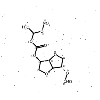 CC(OC(=O)O[C@@H]1COC2C1OC[C@@H]2OC=O)O[N+](=O)[O-]